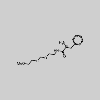 COCCOCOCCNC(=O)[C@@H](N)Cc1ccccc1